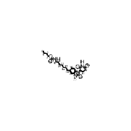 CCCCOC(=O)NCCCCCCCc1ccc2c(c1)n(C)c(=O)n2C1CCC(=O)NC1=O